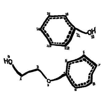 OCCOc1ccccc1.Oc1ccccc1